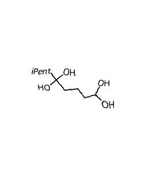 CCCC(C)C(O)(O)CCCC(O)O